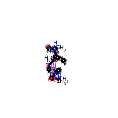 CNC(C)C(=O)NC(C(=O)N1Cc2ccccc2[C@H]1C(=O)Nc1cc(C(=O)NCCNC(=O)C2(C)CN(C(=O)CN3C[C@@H](C)NC[C@@H]3CN3CCOCC3C)c3cc(Cc4ccc(F)cc4)ccc32)ccc1F)C1CCOCC1